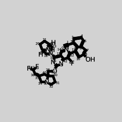 C#Cc1cccc2cc(O)cc(-c3ncc4c(N5C[C@H]6CC[C@@H](C5)N6)nc(OCC56CCCN5CC(=CC(F)F)C6)nc4c3F)c12